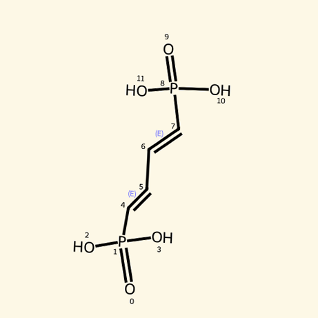 O=P(O)(O)/C=C/C=C/P(=O)(O)O